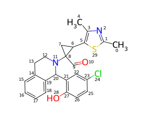 Cc1nc(C)c(C2CC2(C=O)N2CCc3ccccc3C2c2cc(Cl)ccc2O)s1